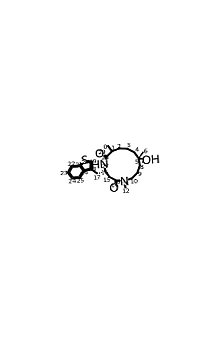 CC1CCC[C@](C)(O)CCCN(C)C(=O)C[C@H](Cc2csc3ccccc23)NC1=O